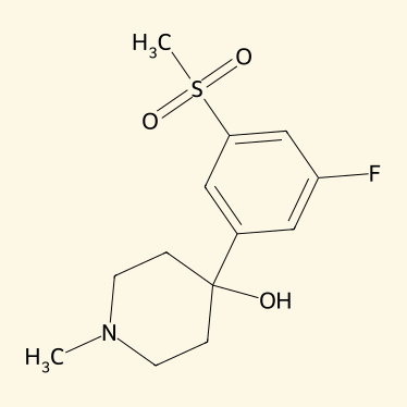 CN1CCC(O)(c2cc(F)cc(S(C)(=O)=O)c2)CC1